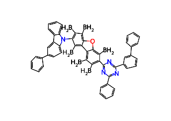 Bc1c(-n2c3ccccc3c3cc(-c4ccccc4)ccc32)c(B)c2c(oc3c(B)c(-c4nc(-c5ccccc5)nc(-c5cccc(-c6ccccc6)c5)n4)c(B)c(B)c32)c1B